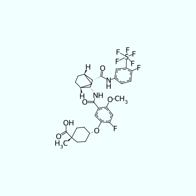 COc1cc(F)c(O[C@H]2CC[C@@](C)(C(=O)O)CC2)cc1C(=O)N[C@@H]1[C@@H]2CC[C@@H](C2)[C@@H]1C(=O)Nc1ccc(F)c(S(F)(F)(F)(F)F)c1